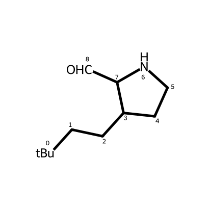 CC(C)(C)CCC1CCNC1C=O